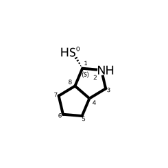 S[C@@H]1NCC2CCCC21